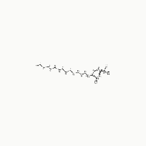 CCCCCCCCCCCCCCOc1ccc(C([O])=O)cc1Cl